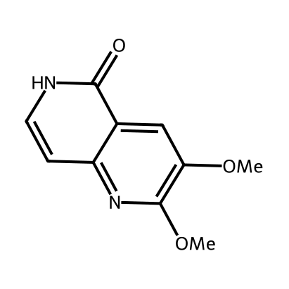 COc1cc2c(=O)[nH]ccc2nc1OC